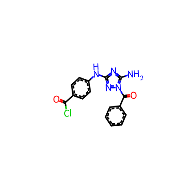 Nc1nc(Nc2ccc(C(=O)Cl)cc2)nn1C(=O)c1ccccc1